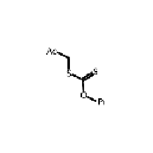 CC(=O)CSC(=S)OC(C)C